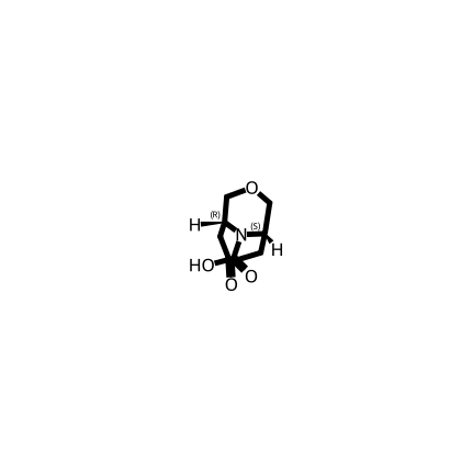 O=C1C[C@H]2COC[C@@H](C1)N2C(=O)O